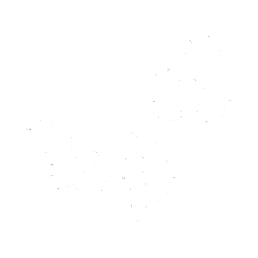 CC1(C)c2ccccc2-c2c(N(c3ccc(-c4cccc5c4C(C)(C)c4ccccc4N5c4ccccc4)cc3)c3ccc(-c4cccc5c4oc4ccccc45)cc3)cccc21